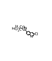 CC1(C(=O)O)CC(c2ccc3ncc(Cl)cc3c2)=NO1